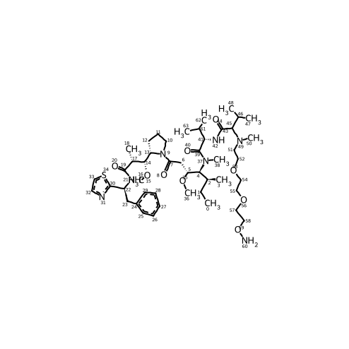 CC[C@H](C)[C@@H]([C@@H](CC(=O)N1CCC[C@H]1[C@H](OC)[C@@H](C)C(=O)N[C@@H](Cc1ccccc1)c1nccs1)OC)N(C)C(=O)[C@@H](NC(=O)C(C(C)C)N(C)CCOCCOCCON)C(C)C